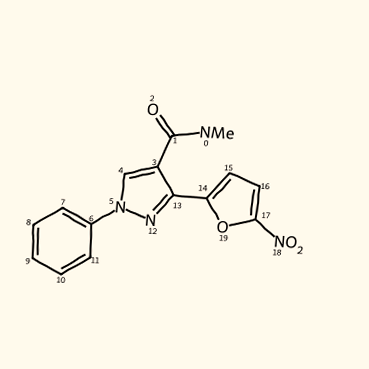 CNC(=O)c1cn(-c2ccccc2)nc1-c1ccc([N+](=O)[O-])o1